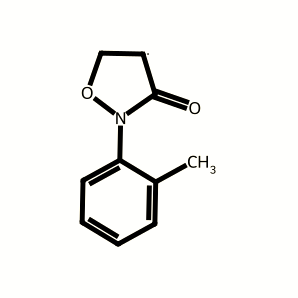 Cc1ccccc1N1OC[CH]C1=O